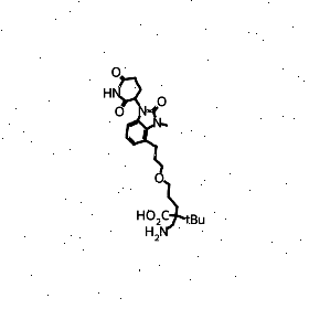 Cn1c(=O)n(C2CCC(=O)NC2=O)c2cccc(CCCOCCCC(CN)(C(=O)O)C(C)(C)C)c21